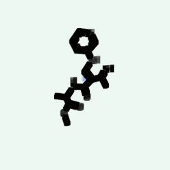 COC(=O)C(C)NC(=O)/C(=C/Nc1cccnc1)C(C)=N